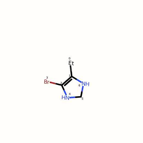 CCC1=C(Br)NCN1